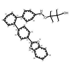 CC(C)(O)C(C)(C)OBc1ccc(-c2ccccc2-c2ccc(-c3nc4ccccc4o3)cc2)cc1